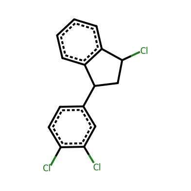 Clc1ccc(C2CC(Cl)c3ccccc32)cc1Cl